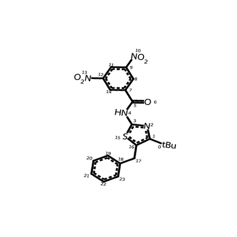 CC(C)(C)c1nc(NC(=O)c2cc([N+](=O)[O-])cc([N+](=O)[O-])c2)sc1Cc1ccccc1